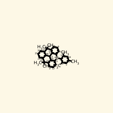 Cc1cc(C)c(B2c3cccc4c3C3c5c2cccc5C(C)(C)c2cccc(c23)C4(C)C)c(C)c1